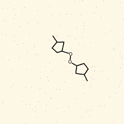 CC1CCC(OOC2CCC(C)C2)C1